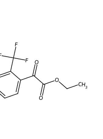 CCOC(=O)C(=O)c1ccccc1C(F)(F)F